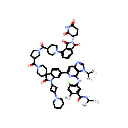 Cc1cc(F)c(Nc2nc(-c3ccc4c(c3)N(C3CC(N5CCCCC5)C3)C(=O)C43CCN(C(=O)C4CCN(C(=O)C5CCN(c6cccc7c6C(=O)N([C@@H]6CCC(=O)NC6=O)C7=O)CC5)C4)CC3)cc3ncn(C(C)C)c23)cc1C(=O)NC(C)C